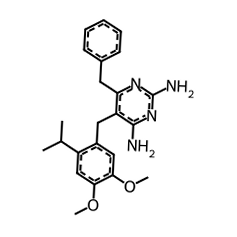 COc1cc(Cc2c(N)nc(N)nc2Cc2ccccc2)c(C(C)C)cc1OC